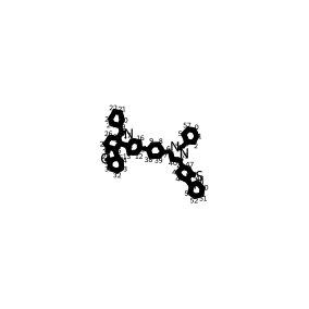 c1ccc(-c2nc(-c3ccc(-c4ccc5c(c4)nc(-c4ccccc4)c4ccc6oc7ccccc7c6c45)cc3)cc(-c3ccc4c(c3)sc3ccccc34)n2)cc1